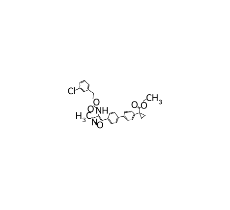 CCOC(=O)C1(c2ccc(-c3ccc(-c4onc(C)c4NC(=O)OCCc4cccc(Cl)c4)cc3)cc2)CC1